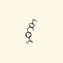 Cc1nc(N)sc1Cc1ccc([N+](=O)[O-])cc1